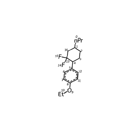 CCCC1CCC(c2ccc(OCC)cc2)C(F)(F)C1